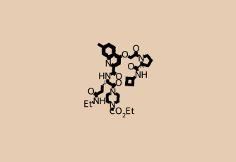 CCNC(=O)CC[C@H](NC(=O)c1cc(OCC(=O)N2CCC[C@H]2C(=O)NC2CCC2)c2ccc(C)cc2n1)C(=O)N1CCN(C(=O)OCC)CC1